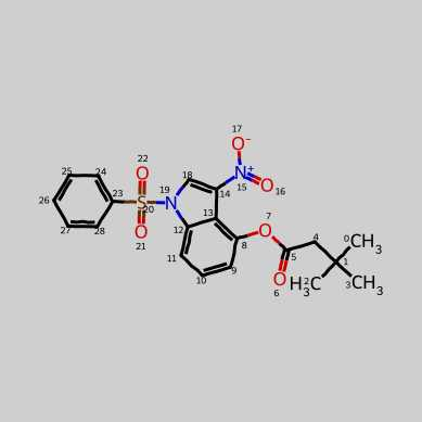 CC(C)(C)CC(=O)Oc1cccc2c1c([N+](=O)[O-])cn2S(=O)(=O)c1ccccc1